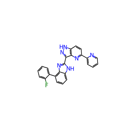 Fc1ccccc1-c1cccc2[nH]c(-c3n[nH]c4ccc(-c5ccccn5)nc34)nc12